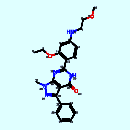 CCOc1cc(NCCOC)ccc1-c1nc2c(c(-c3ccccc3)nn2C)c(=O)[nH]1